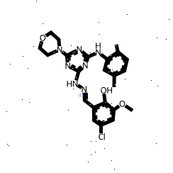 COc1cc(Cl)cc(/C=N/Nc2nc(Nc3cc(C)ccc3C)nc(N3CCOCC3)n2)c1O